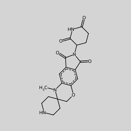 CN1c2cc3c(cc2OCC12CCNCC2)C(=O)N(C1CCC(=O)NC1=O)C3=O